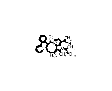 C=C(O/C(C)=N/C)/C1=C(\C)CCC2C(C(=C)[n+]3ccc(C(C)C)cc31)c1ccccc1-c1cccc[n+]12